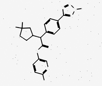 Cn1nnc(-c2ccc(C(C(=O)Nc3ccc(F)nc3)C3CCC(F)(F)C3)cc2)n1